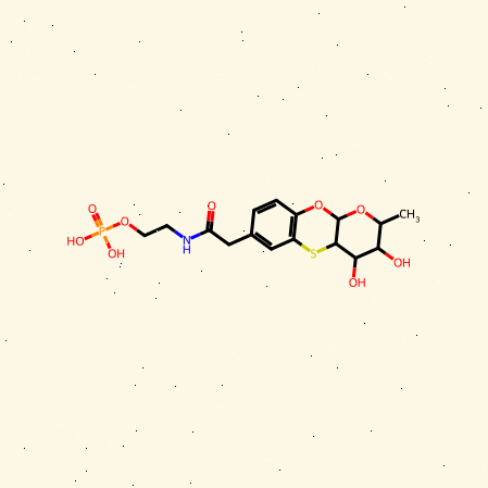 CC1OC2Oc3ccc(CC(=O)NCCOP(=O)(O)O)cc3SC2C(O)C1O